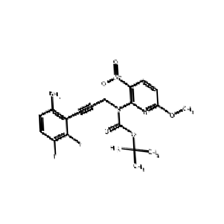 COc1ccc([N+](=O)[O-])c(N(CC#Cc2c(N)ccc(F)c2F)C(=O)OC(C)(C)C)n1